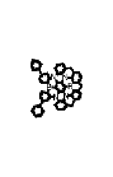 c1ccc(-c2ccc3c(c2)-n2c4cccc5c4n4c6c7c8c9c(c62)B3c2ccc(-c3ccccc3)cc2-n9c2cccc3c2n8-c2c(ccc6c2B7c2c(ccc(c2-4)C5)C6)C3)cc1